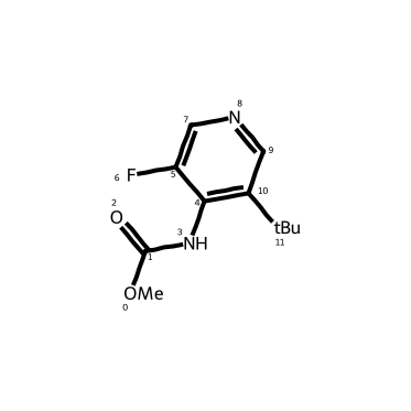 COC(=O)Nc1c(F)cncc1C(C)(C)C